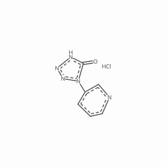 Cl.O=c1[nH]nnn1-c1cccnc1